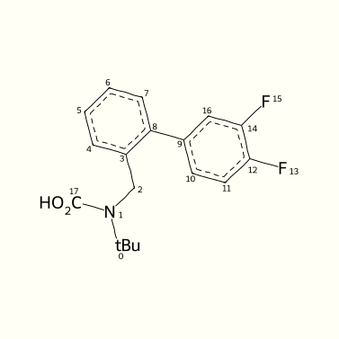 CC(C)(C)N(Cc1ccccc1-c1ccc(F)c(F)c1)C(=O)O